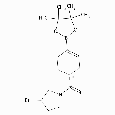 CCC1CCN(C(=O)[C@H]2CC=C(B3OC(C)(C)C(C)(C)O3)CC2)C1